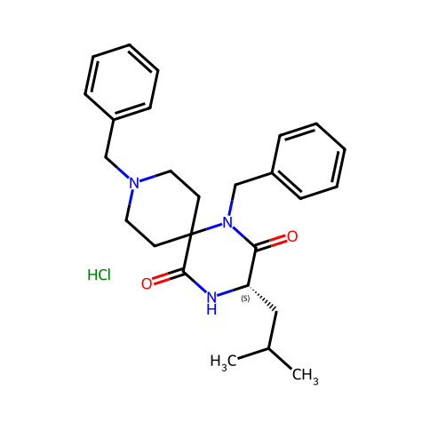 CC(C)C[C@@H]1NC(=O)C2(CCN(Cc3ccccc3)CC2)N(Cc2ccccc2)C1=O.Cl